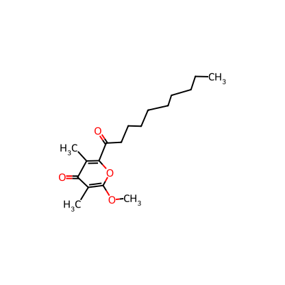 CCCCCCCCCC(=O)c1oc(OC)c(C)c(=O)c1C